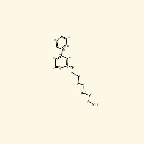 OCCNCCCCOc1cccc(-c2ccccc2)c1